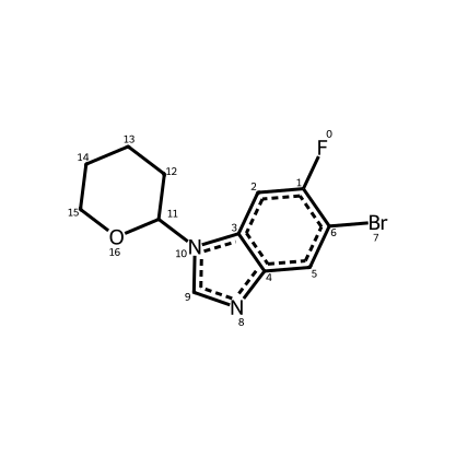 Fc1cc2c(cc1Br)ncn2C1CCCCO1